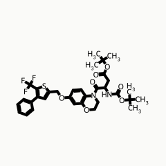 CC(C)(C)OC(=O)CC(NC(=O)OC(C)(C)C)C(=O)N1CCOc2cc(OCc3cc(-c4ccccc4)c(C(F)(F)F)s3)ccc21